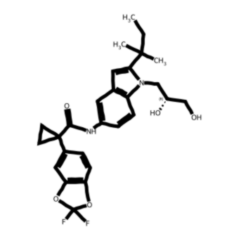 CCC(C)(C)c1cc2cc(NC(=O)C3(c4ccc5c(c4)OC(F)(F)O5)CC3)ccc2n1C[C@@H](O)CO